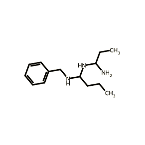 CCCC(NCc1ccccc1)NC(N)CC